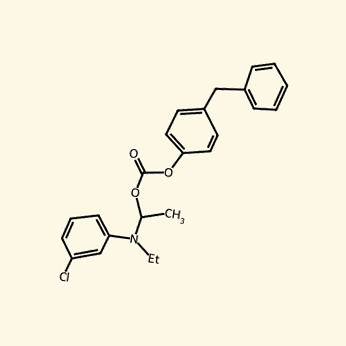 CCN(c1cccc(Cl)c1)C(C)OC(=O)Oc1ccc(Cc2ccccc2)cc1